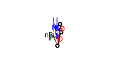 CCCCC(=O)N(Cc1ccc2oc(-c3ccccc3-c3nnn[nH]3)cc2c1)[C@H](C(=O)OCc1ccccc1)C(C)C